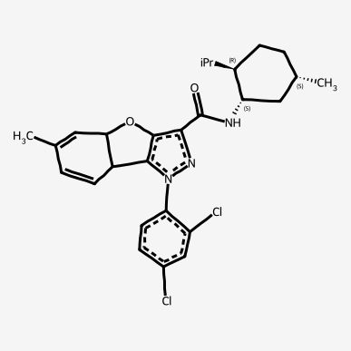 CC1=CC2Oc3c(C(=O)N[C@H]4C[C@@H](C)CC[C@@H]4C(C)C)nn(-c4ccc(Cl)cc4Cl)c3C2C=C1